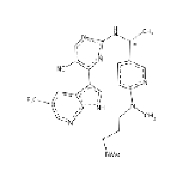 CNCCCN(C)c1ccc([C@@H](C)Nc2ncc(C#N)c(-c3c[nH]c4ncc(C(F)(F)F)cc34)n2)cn1